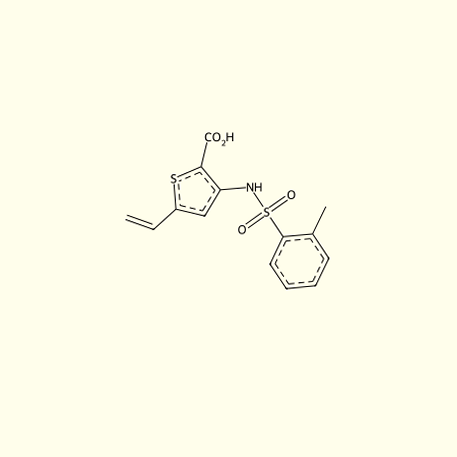 C=Cc1cc(NS(=O)(=O)c2ccccc2C)c(C(=O)O)s1